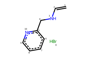 Br.C=CNCc1ccccn1